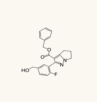 O=C(OCc1ccccc1)c1c(-c2cc(CO)ccc2F)nn2c1CCC2